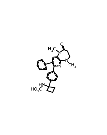 CN1CCC(=O)N(C)c2cc(-c3ccccc3)c(-c3ccc(C4(NC(=O)O)CCC4)cc3)nc21